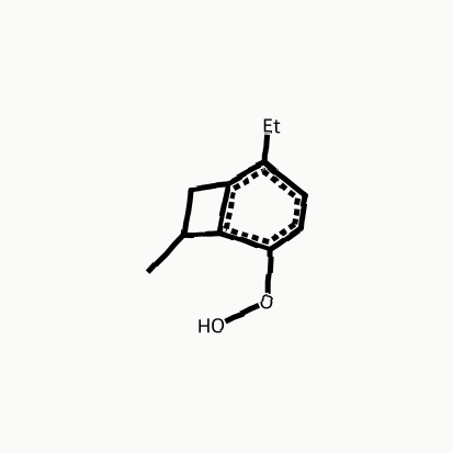 CCc1ccc(OO)c2c1CC2C